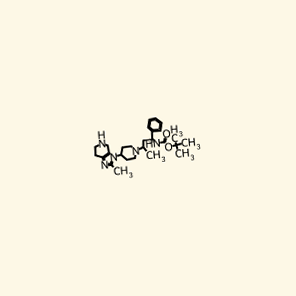 Cc1nc2c(n1C1CCN(C(C)C[C@H](NC(=O)OC(C)(C)C)c3ccccc3)CC1)CNCC2